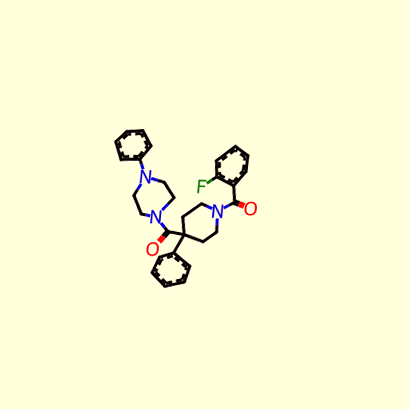 O=C(c1ccccc1F)N1CCC(C(=O)N2CCN(c3ccccc3)CC2)(c2ccccc2)CC1